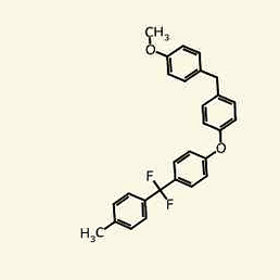 COc1ccc(Cc2ccc(Oc3ccc(C(F)(F)c4ccc(C)cc4)cc3)cc2)cc1